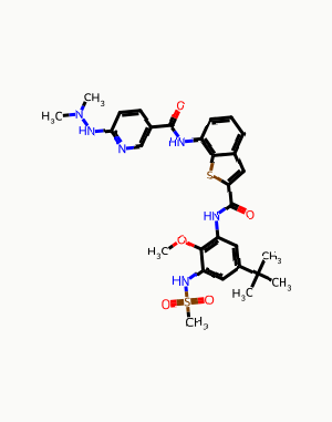 COc1c(NC(=O)c2cc3cccc(NC(=O)c4ccc(NN(C)C)nc4)c3s2)cc(C(C)(C)C)cc1NS(C)(=O)=O